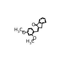 COc1ccc(C=C2Cc3ccccc3C2=O)c(OC)c1